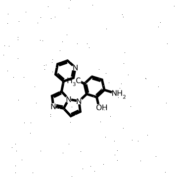 Cc1ccc(N)c(O)c1-n1ccc2ncc(-c3cccnc3)n21